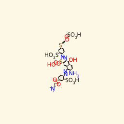 CN(C)CCS(=O)(=O)c1ccc(N=Nc2c(N)ccc3c(O)c(N=Nc4ccc(SC#COOS(=O)(=O)O)cc4S(=O)(=O)O)c(SOOO)cc23)c(S(=O)(=O)O)c1